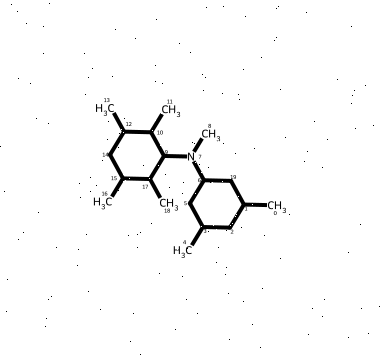 CC1CC(C)CC(N(C)C2C(C)C(C)CC(C)C2C)C1